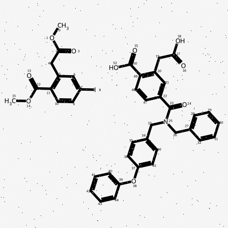 COC(=O)Cc1cc(I)ccc1C(=O)OC.O=C(O)Cc1cc(C(=O)N(Cc2ccccc2)Cc2ccc(Oc3ccccc3)cc2)ccc1C(=O)O